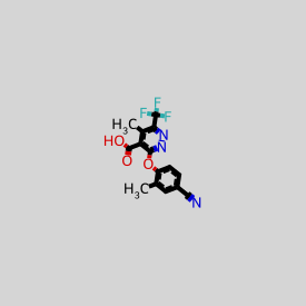 Cc1cc(C#N)ccc1Oc1nnc(C(F)(F)F)c(C)c1C(=O)O